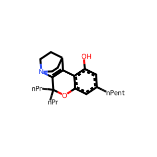 CCCCCc1cc(O)c2c(c1)OC(CCC)(CCC)C1=C2C2CCN1CC2